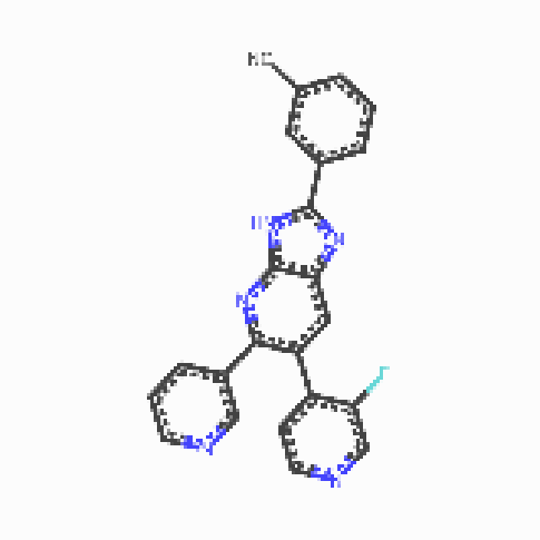 N#Cc1cccc(-c2nc3cc(-c4ccncc4F)c(-c4cccnc4)nc3[nH]2)c1